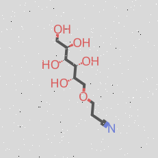 N#CCCOC[C@H](O)[C@@H](O)[C@H](O)[C@H](O)CO